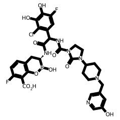 O=C(O)c1c(F)ccc2c1OB(O)[C@@H](NC(=O)C(NC(=O)N1CCN(C3CCN(Cc4cncc(O)c4)CC3)C1=O)c1cc(F)c(O)c(O)c1Cl)C2